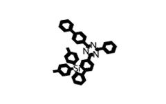 Cc1ccc([Si]2(c3ccc(C)cc3)c3ccccc3-c3ccc(-c4nc(-c5ccccc5)nc(-c5ccc(-c6ccccc6)cc5)n4)cc32)cc1